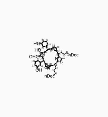 CCCCCCCCCCCCCc1c2nc(c(CCCCCCCCCCCCC)c3ccc([nH]3)c(-c3cccc(O)c3)c3nc(c(-c4cccc(O)c4)c4ccc1[nH]4)[C@@H](C=O)[C@H]3O)C=C2